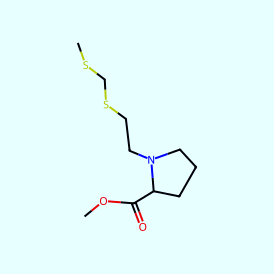 COC(=O)C1CCCN1CCSCSC